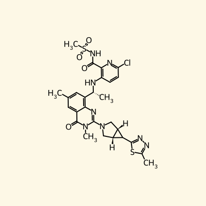 Cc1cc([C@@H](C)Nc2ccc(Cl)nc2C(=O)NS(C)(=O)=O)c2nc(N3C[C@@H]4C(c5nnc(C)s5)[C@@H]4C3)n(C)c(=O)c2c1